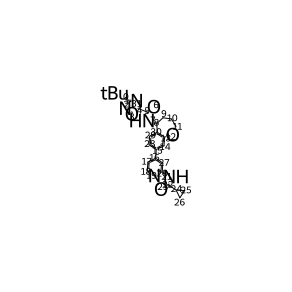 CC(C)(C)c1noc(C(=O)N[C@H]2CCCOc3cc(-c4ccnc(NC(=O)C5CC5)c4)ccc32)n1